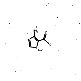 Nc1ccsc1C(=O)[O-].[Na+]